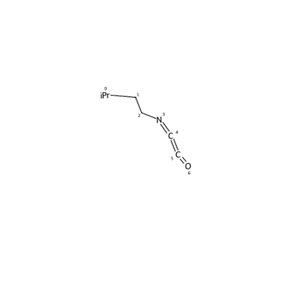 CC(C)CCN=C=C=O